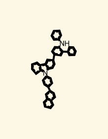 c1ccc(Nc2ccc(-c3ccc4c(c3)c3ccccc3n4-c3ccc(-c4ccc5ccccc5c4)cc3)cc2-c2ccccc2)cc1